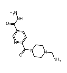 NCN1CCN(C(=O)c2ccc(C(=O)NN)cn2)CC1